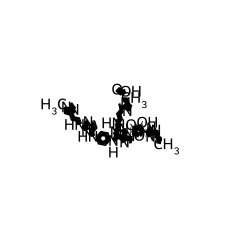 CCn1nnc([C@H]2O[C@@H](n3cnc4c(N[C@H]5CC[C@H](Nc6ccnc(NCCc7cn(C)cn7)n6)CC5)nc(NCCc5cn(C)cn5)nc43)[C@H](O)[C@@H]2O)n1.O=CO